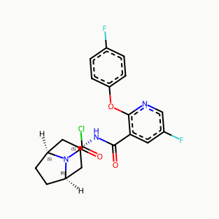 O=C(N[C@@H]1C[C@H]2CC[C@@H](C1)N2C(=O)Cl)c1cc(F)cnc1Oc1ccc(F)cc1